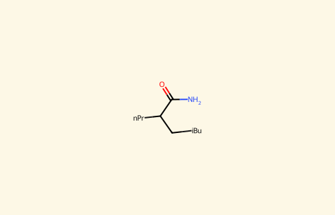 CCCC(CC(C)CC)C(N)=O